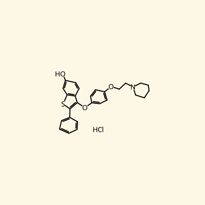 Cl.Oc1ccc2c(Oc3ccc(OCCN4CCCCC4)cc3)c(-c3ccccc3)sc2c1